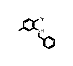 Cc1ccc(C(C)C)c(NCc2ccccc2)c1